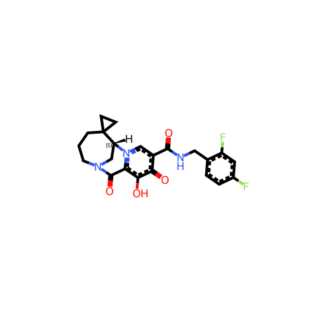 O=C(NCc1ccc(F)cc1F)c1cn2c(c(O)c1=O)C(=O)N1CCCC3(CC3)[C@H]2C1